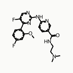 COc1cc(F)ccc1-c1nc(Nc2ccc(C(=O)NCCN(C)C)cn2)ncc1F